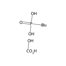 CCC(C)P(=O)(O)O.O=C(O)O